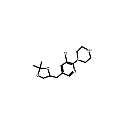 CC1(C)OCC(Cc2cnc(N3CCNCC3)c(Cl)c2)O1